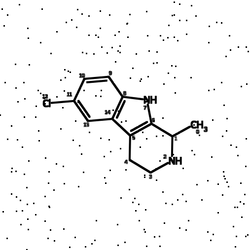 CC1NCCc2c1[nH]c1ccc(Cl)cc21